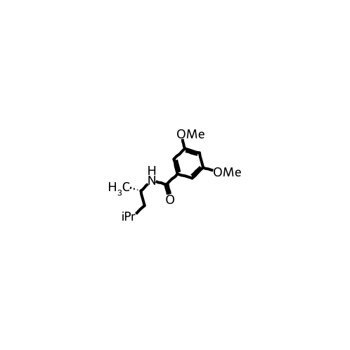 COc1cc(OC)cc(C(=O)N[C@@H](C)CC(C)C)c1